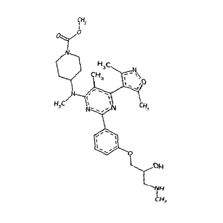 CNCC(O)COc1cccc(-c2nc(-c3c(C)noc3C)c(C)c(N(C)C3CCN(C(=O)OC)CC3)n2)c1